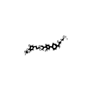 CCSC/C(F)=C(\F)c1ccc(-c2ccc(C3COC(CCc4cc(F)c(OC(F)(F)F)c(F)c4)OC3)c(F)c2)cc1